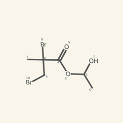 CC(O)OC(=O)C(C)(Br)CBr